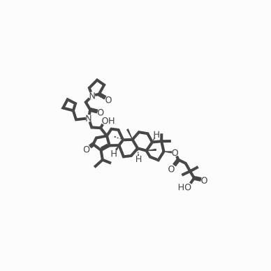 CC(C)C1=C2[C@H]3CC[C@@H]4[C@@]5(C)CC[C@H](OC(=O)CC(C)(C)C(=O)O)C(C)(C)[C@@H]5CC[C@@]4(C)[C@]3(C)CCC2(C(O)CN(CC2CCC2)C(=O)CN2CCCC2=O)CC1=O